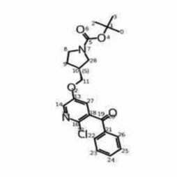 CC(C)(C)OC(=O)N1CC[C@H](COc2cnc(Cl)c(C(=O)c3ccccc3)c2)C1